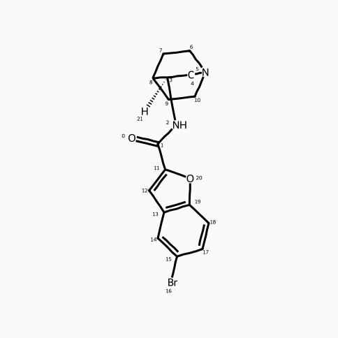 O=C(N[C@@H]1CN2CCC1CC2)c1cc2cc(Br)ccc2o1